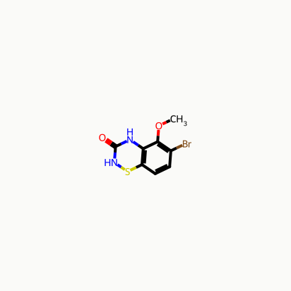 COc1c(Br)ccc2c1NC(=O)NS2